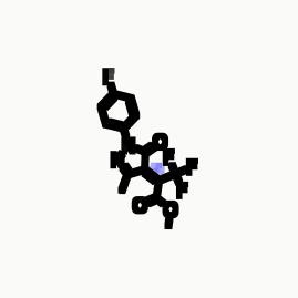 COC(=O)/C(=C1/C(=O)N(c2ccc(F)cc2)N=C1C)C(F)(F)F